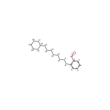 O=Cc1ccccc1CCCCCCCCC1CCCCC1